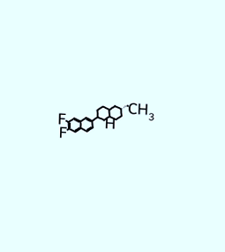 CC[C@@H]1CC[C@@H]2CC(c3ccc4cc(F)c(F)cc4c3)CCC2C1